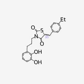 CCc1ccc(/C=C2\SC(=O)N(CCCc3cccc(O)c3O)C2=O)cc1